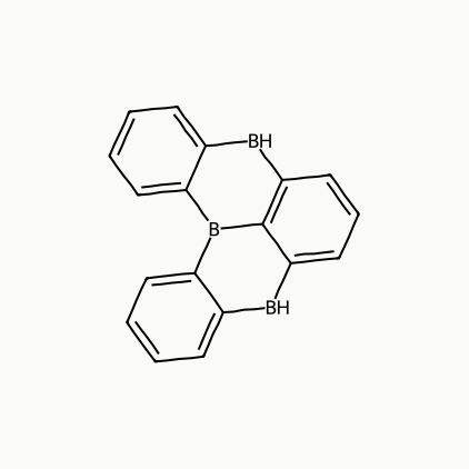 B1c2ccccc2B2c3ccccc3Bc3cccc1c32